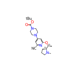 C[C@H](Oc1cc(N2CCN(C(=O)OC(C)(C)C)CC2)cc(C#N)n1)[C@@H]1CCCN1C